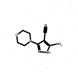 N#Cc1c(N2CCOCC2)n[nH]c1N